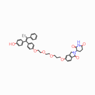 CCC(=C(c1ccc(O)cc1)c1ccc(OCCOCCOCCCOc2ccc3c(c2)CN(C2CCC(=O)NC2=O)C3=O)cc1)c1ccccc1